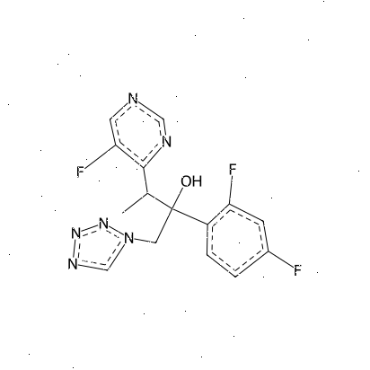 CC(c1ncncc1F)C(O)(Cn1cnnn1)c1ccc(F)cc1F